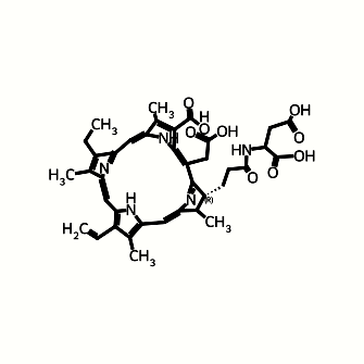 C=Cc1c(C)c2cc3nc(c(CC(=O)O)c4[nH]c(cc5nc(cc1[nH]2)C(C)=C5CC)c(C)c4C(=O)O)[C@H](CCC(=O)NC(CC(=O)O)C(=O)O)C3C